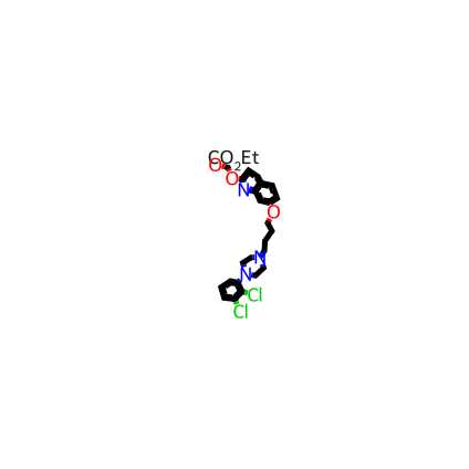 CCOC(=O)OCOc1ccc2ccc(OCCCCN3CCN(c4cccc(Cl)c4Cl)CC3)cc2n1